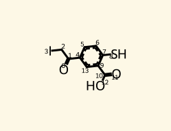 O=C(CI)c1ccc(S)c(C(=O)O)c1